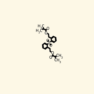 C=C(C)C(=O)OCCc1ccccc1S(=O)(=O)c1ccccc1CCOC(=O)C(=C)C